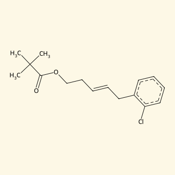 CC(C)(C)C(=O)OCC/C=C/Cc1ccccc1Cl